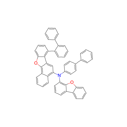 c1ccc(-c2ccc(N(c3cc4c(oc5cccc(-c6ccccc6-c6ccccc6)c54)c4ccccc34)c3cccc4c3oc3ccccc34)cc2)cc1